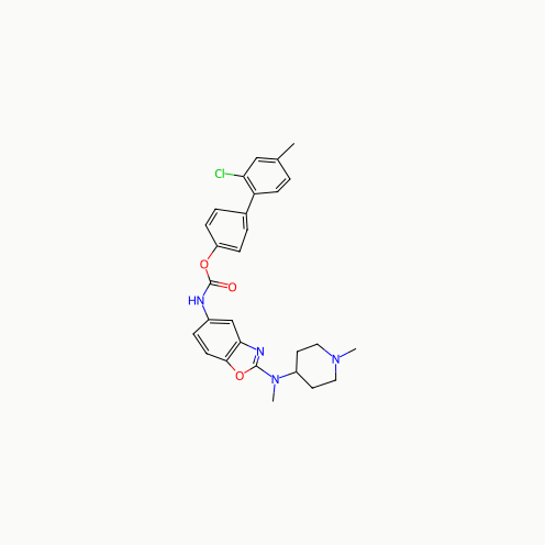 Cc1ccc(-c2ccc(OC(=O)Nc3ccc4oc(N(C)C5CCN(C)CC5)nc4c3)cc2)c(Cl)c1